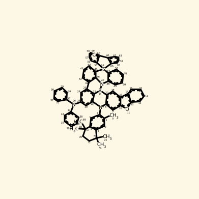 Cc1cc2c(cc1N1c3cc4oc5ccccc5c4cc3B3c4c(cc(N(c5ccccc5)c5ccccc5)cc41)-c1cccc4c1N3c1ccccc1S41c3ccccc3-c3ccccc31)C(C)(C)CCC2(C)C